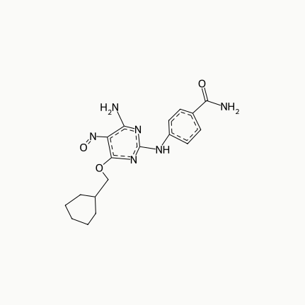 NC(=O)c1ccc(Nc2nc(N)c(N=O)c(OCC3CCCCC3)n2)cc1